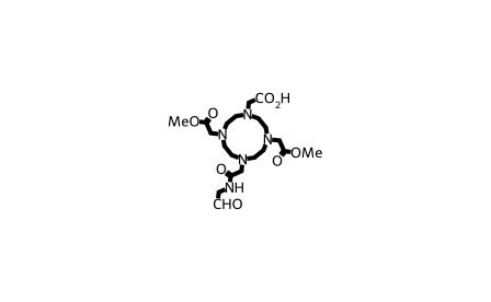 COC(=O)CN1CCN(CC(=O)O)CCN(CC(=O)OC)CCN(CC(=O)NCC=O)CC1